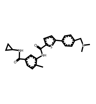 Cc1ccc(C(=O)NC2CC2)cc1NC(=O)c1ccc(-c2ccc(CN(C)C)cc2)s1